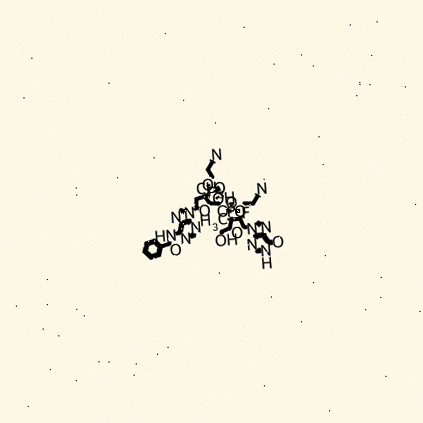 C[C@]1(P(=O)(O)OCCC#N)CC(n2cnc3c(NC(=O)c4ccccc4)ncnc32)OC1COP(=O)(OCCC#N)[C@@]1(C)C(CO)OC(n2cnc3c(=O)[nH]cnc32)[C@@H]1F